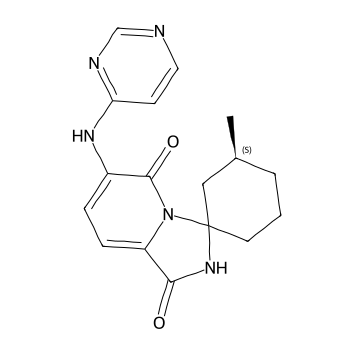 C[C@H]1CCCC2(C1)NC(=O)c1ccc(Nc3ccncn3)c(=O)n12